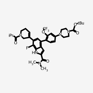 CC(C)C(=O)N1CCC=C(c2cc(-c3ccc(N4CCN(C(=O)OC(C)(C)C)CC4)cc3OC(F)(F)F)c3cc(C(=O)N(C)C)[nH]c3c2F)C1